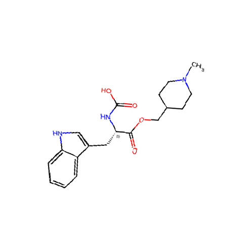 CN1CCC(COC(=O)[C@H](Cc2c[nH]c3ccccc23)NC(=O)O)CC1